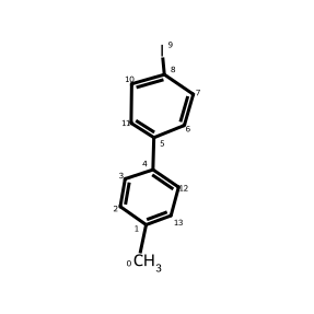 Cc1ccc(-c2ccc(I)cc2)cc1